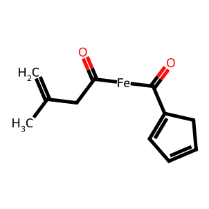 C=C(C)C[C](=O)[Fe][C](=O)C1=CC=CC1